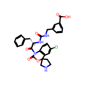 O=C(NCc1cccc(C(=O)O)c1)N[C@@H](Cc1ccccc1)C(=O)N1C(=O)OC2(CCNC2)c2cc(Cl)ccc21